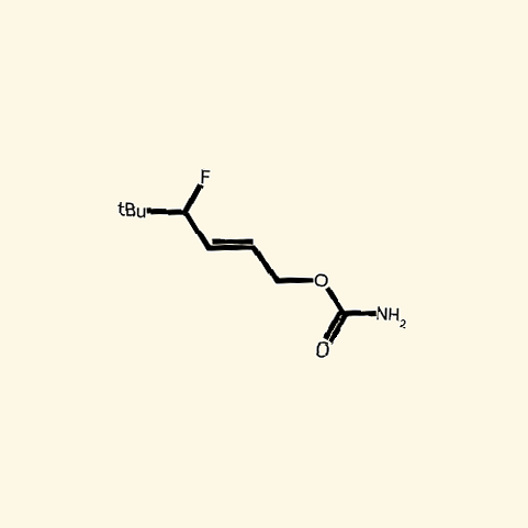 CC(C)(C)C(F)C=CCOC(N)=O